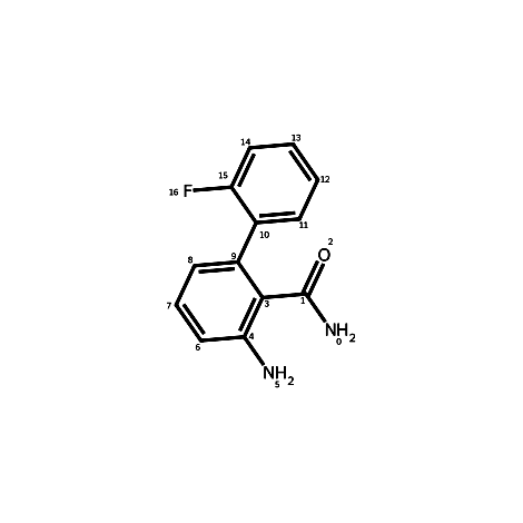 NC(=O)c1c(N)cccc1-c1ccccc1F